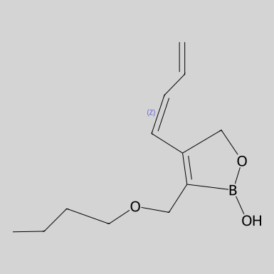 C=C/C=C\C1=C(COCCCC)B(O)OC1